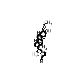 CCOC[C@@]1(O)CC[C@H]2[C@@H](CC[C@@H]3[C@@H]2CC[C@]2(C)[C@@H]([C@H](CC)Cn4ccc(C#N)n4)CC[C@@H]32)C1